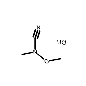 CON(C)C#N.Cl